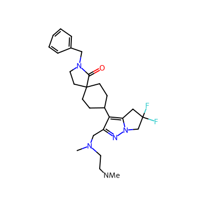 CNCCN(C)Cc1nn2c(c1C1CCC3(CC1)CCN(Cc1ccccc1)C3=O)CC(F)(F)C2